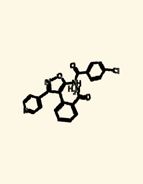 NC(=O)c1ccccc1-c1c(-c2ccncc2)noc1NC(=O)c1ccc(Cl)cc1